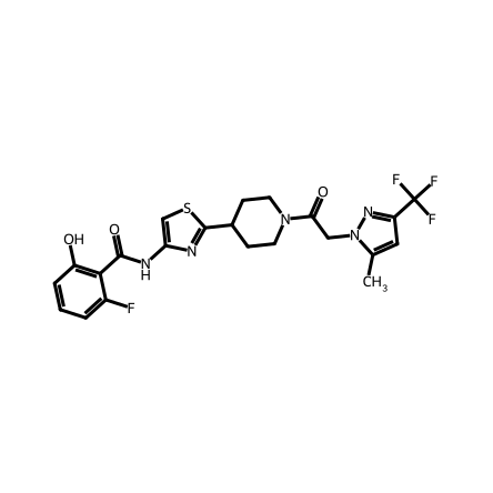 Cc1cc(C(F)(F)F)nn1CC(=O)N1CCC(c2nc(NC(=O)c3c(O)cccc3F)cs2)CC1